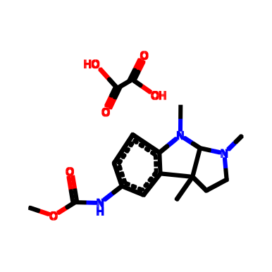 COC(=O)Nc1ccc2c(c1)C1(C)CCN(C)C1N2C.O=C(O)C(=O)O